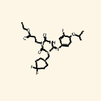 CCOC(=O)CCn1c(=O)[nH]/c(=N\C2=CCC(OC(C)C)C(F)=C2)n(CC2CCC(F)(F)CC2)c1=O